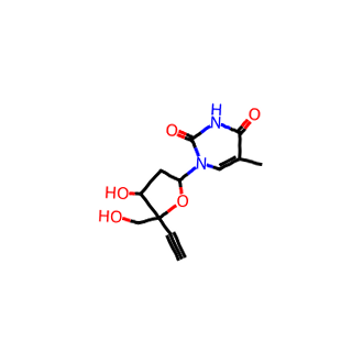 C#CC1(CO)OC(n2cc(C)c(=O)[nH]c2=O)CC1O